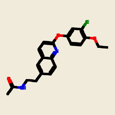 CCOc1ccc(Oc2ccc3cc(CCNC(C)=O)ccc3n2)cc1Cl